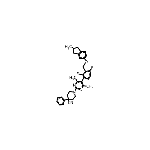 Cc1nc(N2CCC(C#N)(c3ccccc3)CC2)nc(C)c1-c1ccc(F)c(COc2ccc3c(c2)CC(C)C3)c1F